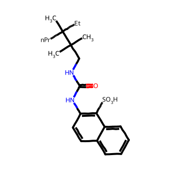 CCCC(C)(CC)C(C)(C)CNC(=O)Nc1ccc2ccccc2c1S(=O)(=O)O